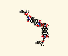 CCCCC(CC)COCCCN1C(=O)c2ccc3c4ccc5c6c(ccc(c7ccc(c2c37)C1=O)c64)C(=O)N(C(C)COCC(C)N1C(=O)c2ccc3c4ccc6c7c(ccc(c8ccc(c2c38)C1=O)c74)C(=O)N(CCCOCC(CC)CCCC)C6=O)C5=O